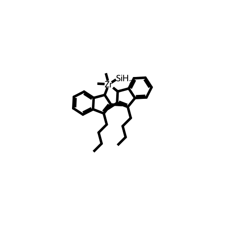 CCCCC1=C(C)[CH]([Zr]([CH3])([CH3])([SiH3])[CH]2C(C)=C(CCCC)c3ccccc32)c2ccccc21